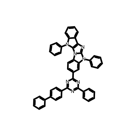 c1ccc(-c2ccc(-c3nc(-c4ccccc4)nc(-c4ccc5c(c4)n(-c4ccccc4)c4nc6c7ccccc7n(-c7ccccc7)c6n54)n3)cc2)cc1